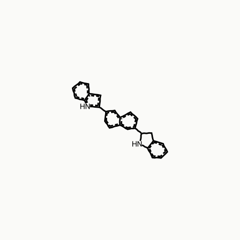 c1ccc2c(c1)CC(c1ccc3cc(-c4cc5ccccc5[nH]4)ccc3c1)N2